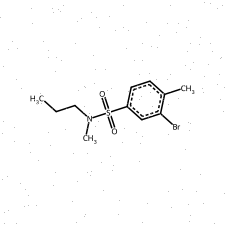 CCCN(C)S(=O)(=O)c1ccc(C)c(Br)c1